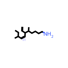 C=CC(/C=C\C(C)CC)C(C)CCCCN